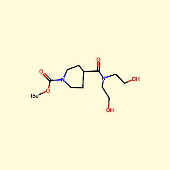 CC(C)(C)OC(=O)N1CCC(C(=O)N(CCO)CCO)CC1